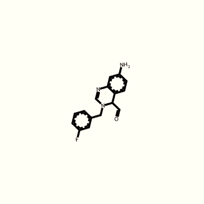 Nc1ccc2c(c1)N=CN(Cc1cccc(F)c1)C2C=O